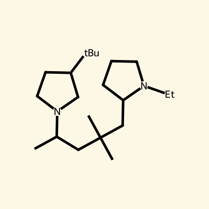 CCN1CCCC1CC(C)(C)CC(C)N1CCC(C(C)(C)C)C1